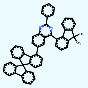 CC1(C)c2ccccc2-c2c(-c3nc(-c4ccccc4)nc4ccc(-c5cccc6c5-c5ccccc5C65c6ccccc6-c6ccccc65)cc34)cccc21